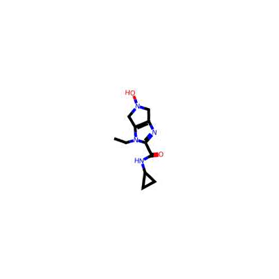 CCn1c(C(=O)NC2CC2)nc2c1CN(O)C2